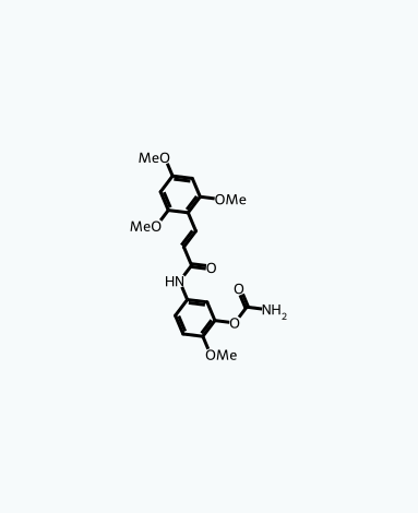 COc1cc(OC)c(C=CC(=O)Nc2ccc(OC)c(OC(N)=O)c2)c(OC)c1